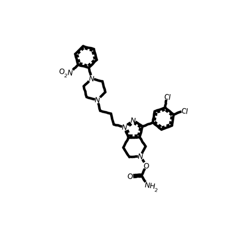 NC(=O)ON1CCc2c(c(-c3ccc(Cl)c(Cl)c3)nn2CCCN2CCN(c3ccccc3[N+](=O)[O-])CC2)C1